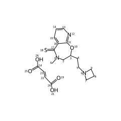 CN1CC(CCN2CCC2)Oc2ncccc2C1=S.O=C(O)/C=C/C(=O)O